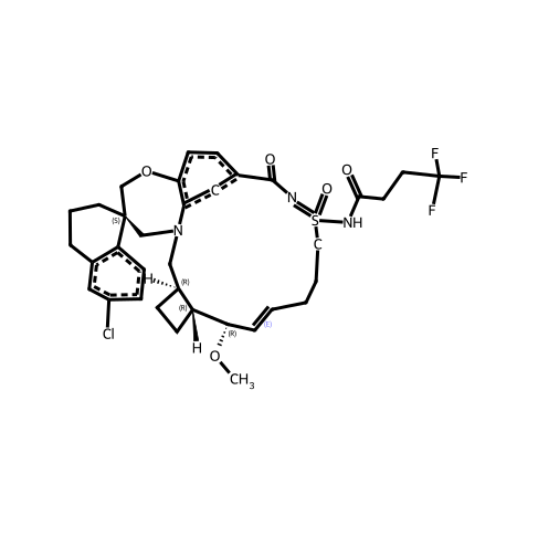 CO[C@H]1/C=C/CCCS(=O)(NC(=O)CCC(F)(F)F)=NC(=O)c2ccc3c(c2)N(C[C@@H]2CC[C@H]21)C[C@@]1(CCCc2cc(Cl)ccc21)CO3